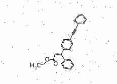 CCOC(=O)/C=C(\c1ccccc1)c1ccc(C#Cc2ccccc2)cc1